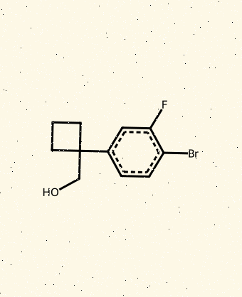 OCC1(c2ccc(Br)c(F)c2)CCC1